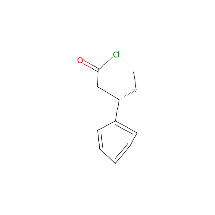 CC[C@@H](CC(=O)Cl)c1ccccc1